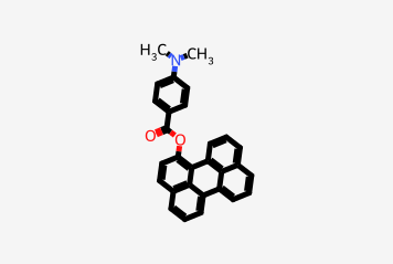 CN(C)c1ccc(C(=O)Oc2ccc3cccc4c5cccc6cccc(c2c34)c65)cc1